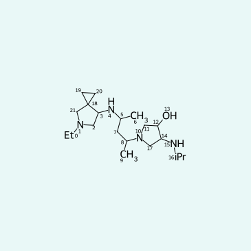 CCN1CC(NC(C)CC(C)N2CC(O)C(NC(C)C)C2)C2(CC2)C1